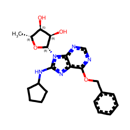 C[C@H]1O[C@@H](n2c(NC3CCCC3)nc3c(OCc4ccccc4)ncnc32)[C@H](O)[C@@H]1O